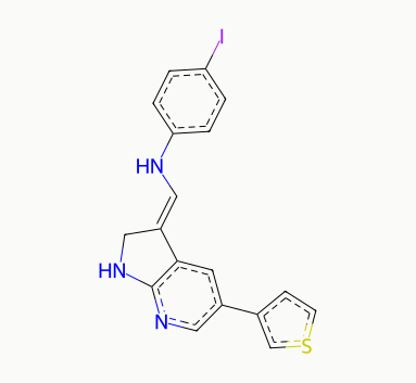 Ic1ccc(NC=C2CNc3ncc(-c4ccsc4)cc32)cc1